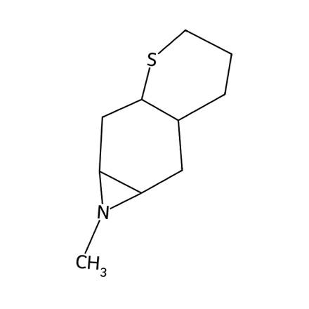 CN1C2CC3CCCSC3CC21